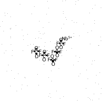 O=P([O-])(F)F.O=P([O-])(F)F.O=P([O-])(F)F.O=P([O-])(F)F.O=P([O-])(F)F.[Nb+5]